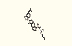 CCCCOC(=O)OC(=O)Nc1nccc(Cc2cncc(Nc3ccc(C=C(C)C)cc3F)c2C)c1F